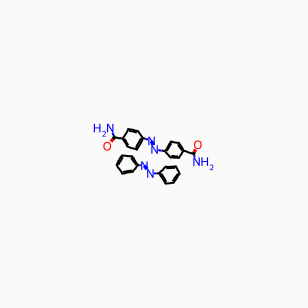 NC(=O)c1ccc(N=Nc2ccc(C(N)=O)cc2)cc1.c1ccc(N=Nc2ccccc2)cc1